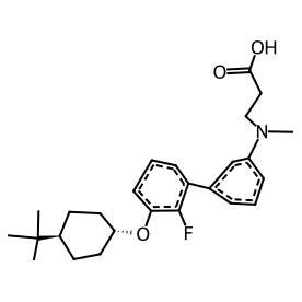 CN(CCC(=O)O)c1cccc(-c2cccc(O[C@H]3CC[C@H](C(C)(C)C)CC3)c2F)c1